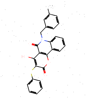 COc1cccc(Cn2c(=O)c3c(O)c(Sc4ccccc4)c(=O)oc3c3ccccc32)c1